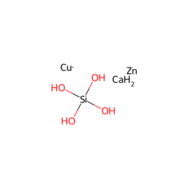 O[Si](O)(O)O.[CaH2].[Cu].[Zn]